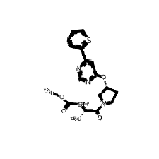 CC(C)(C)OC(=O)B[C@H](C(=O)N1CC[C@@H](Oc2cc(-c3cccs3)ncn2)C1)C(C)(C)C